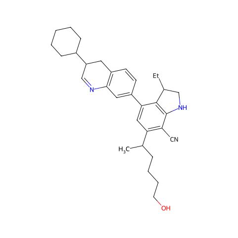 CCC1CNc2c(C#N)c(C(C)CCCCO)cc(-c3ccc4c(c3)N=CC(C3CCCCC3)C4)c21